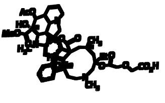 CCC1(OC(=O)COCC(=O)O)C[C@H](C)CC(C(=O)OC)(c2cc3c(cc2OC)N(C)C2C34CCN3CC=CC(C34)C(OC(C)=O)[C@]2(O)C(=O)OC)c2[nH]c3ccccc3c2CCN(C)C1